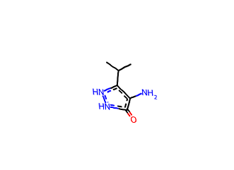 CC(C)c1[nH][nH]c(=O)c1N